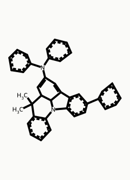 CC1(C)c2ccccc2N2c3ccc(-c4ccccc4)cc3C3=CC(N(c4ccccc4)c4ccccc4)=CC1C32